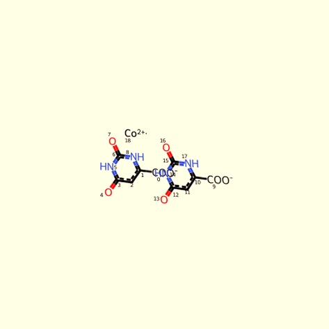 O=C([O-])c1cc(=O)[nH]c(=O)[nH]1.O=C([O-])c1cc(=O)[nH]c(=O)[nH]1.[Co+2]